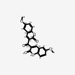 COc1ccc2oc(=O)c(C(=O)c3cc4cc(OC)ccc4oc3=O)cc2c1